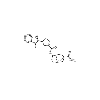 Cn1c(C2CCN(C(=O)OC3C4CC5CC3CC(C(N)=O)(C5)C4)C2)nc2ccccc21